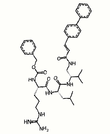 CC(C)C[C@H](NC(=O)[C@H](CCCNC(=N)N)NC(=O)OCc1ccccc1)C(=O)N[C@H](CNC(=O)/C=C/c1ccc(-c2ccccc2)cc1)C(C)C